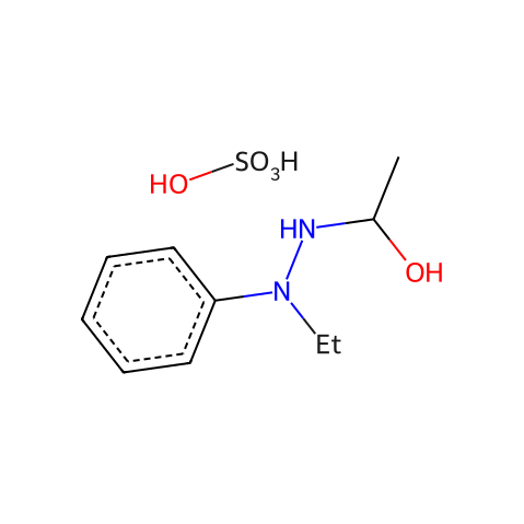 CCN(NC(C)O)c1ccccc1.O=S(=O)(O)O